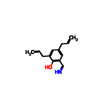 C=CCc1cc(C=N)c(O)c(CC=C)c1